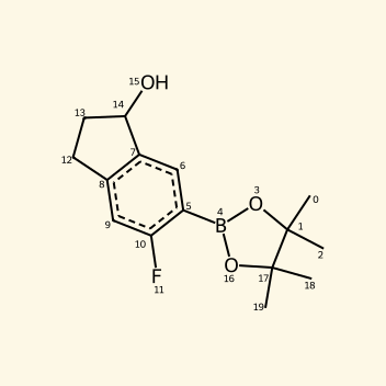 CC1(C)OB(c2cc3c(cc2F)CCC3O)OC1(C)C